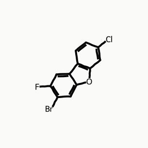 Fc1cc2c(cc1Br)oc1cc(Cl)ccc12